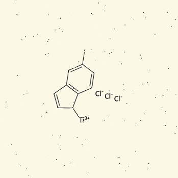 Cc1ccc2c(c1)C=C[CH]2[Ti+3].[Cl-].[Cl-].[Cl-]